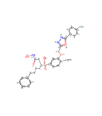 COc1ccc(S(=O)(=O)C(CCCCc2ccccc2)CC(=O)NO)cc1OCc1nnc(-c2ccc(Cl)cc2)o1